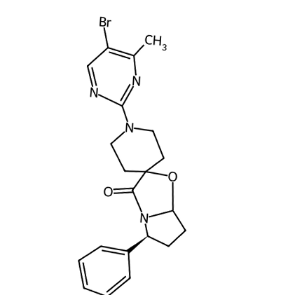 Cc1nc(N2CCC3(CC2)OC2CC[C@@H](c4ccccc4)N2C3=O)ncc1Br